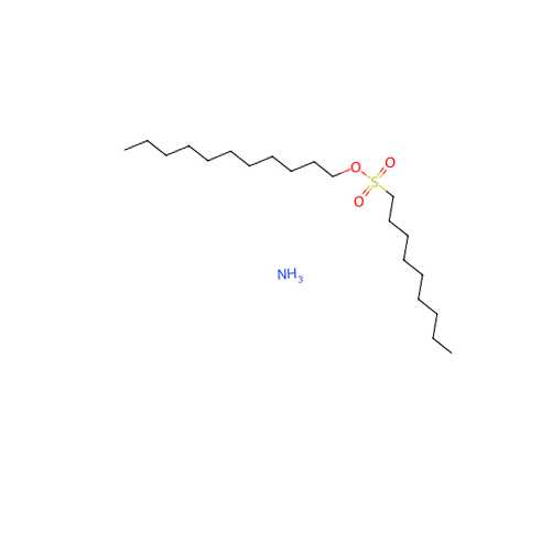 CCCCCCCCCCCOS(=O)(=O)CCCCCCCCC.N